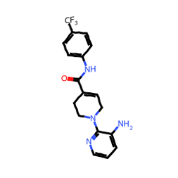 Nc1cccnc1N1CC=C(C(=O)Nc2ccc(C(F)(F)F)cc2)CC1